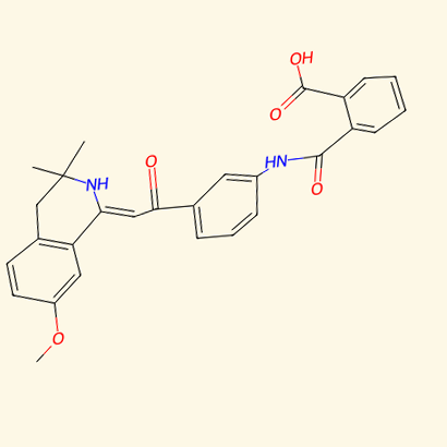 COc1ccc2c(c1)C(=CC(=O)c1cccc(NC(=O)c3ccccc3C(=O)O)c1)NC(C)(C)C2